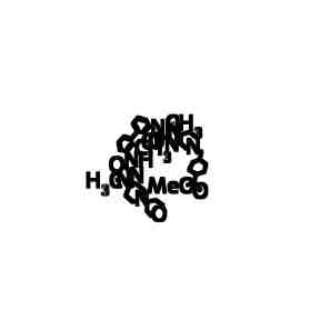 COC(=O)C1CCC(CN2CCc3c(nc(C(=O)Nc4cccc(-c5cccc(NC(=O)c6nc7c(n6C)CCN(C6CCOCC6)C7)c5C)c4Cl)n3C)C2)CC1